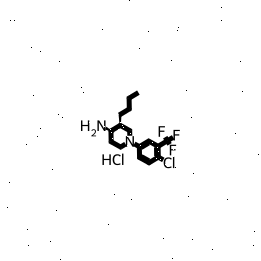 CCCC[C@H]1CN(c2ccc(Cl)c(C(F)(F)F)c2)CC[C@H]1N.Cl